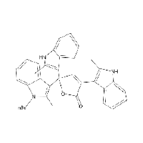 CCCCn1c(C)c(C2(c3c(C)[nH]c4ccccc34)C=C(c3c(C)[nH]c4ccccc34)C(=O)O2)c2ccccc21